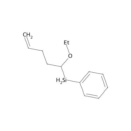 C=CCCC(OCC)[SiH2]c1ccccc1